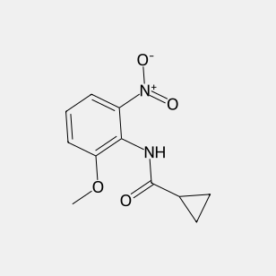 COc1cccc([N+](=O)[O-])c1NC(=O)C1CC1